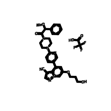 COC(C(=O)N1CCN(c2ccc(-c3cc(OCCCO)cn4ncc(C#N)c34)cn2)CC1)c1ccccc1.O=C(O)C(F)(F)F